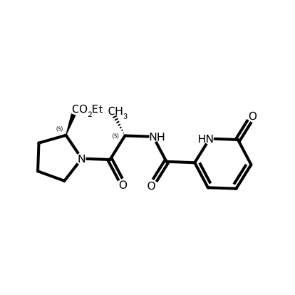 CCOC(=O)[C@@H]1CCCN1C(=O)[C@H](C)NC(=O)c1cccc(=O)[nH]1